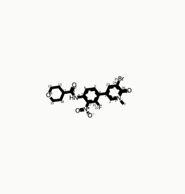 Cn1cc(-c2ccc(NC(=O)C3CCOCC3)c([N+](=O)[O-])c2F)cc(Br)c1=O